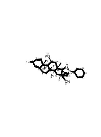 C[C@]12C=CC(=O)C=C1CC[C@H]1[C@@H]3C[C@H]4CN(C5CCCCC5)O[C@@]4(C(=O)CO)[C@@]3(C)C[C@H](O)[C@@]12F